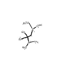 CCC(O)(CN(OC(C)=O)OC(C)=O)N(OC(C)=O)OC(C)=O